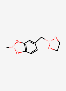 CB1Oc2ccc(CB3OCCO3)cc2O1